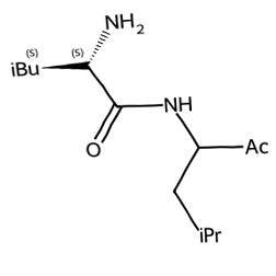 CC[C@H](C)[C@H](N)C(=O)NC(CC(C)C)C(C)=O